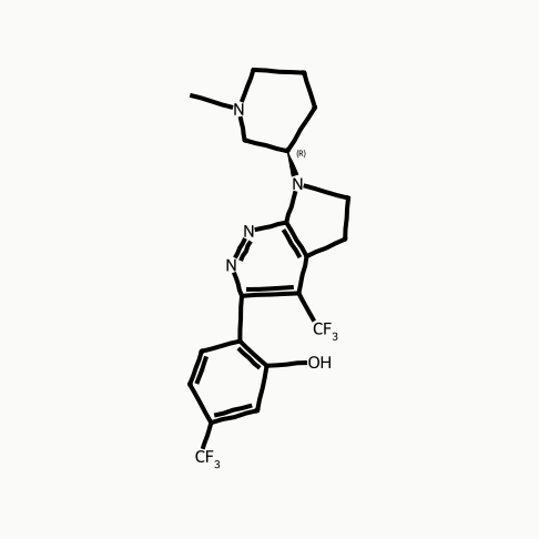 CN1CCC[C@@H](N2CCc3c2nnc(-c2ccc(C(F)(F)F)cc2O)c3C(F)(F)F)C1